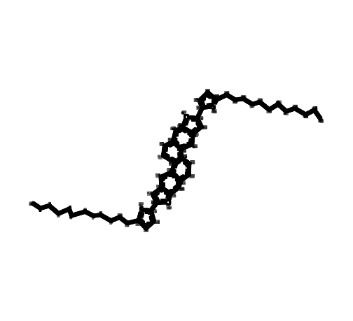 CCCCCCCCCCCCc1ccc(-c2cc3cc4c(ccc5c6cc7cc(-c8ccc(CCCCCCCCCCCC)s8)oc7cc6ccc45)cc3o2)s1